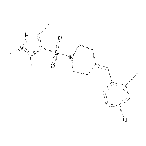 Cc1nn(C)c(C)c1S(=O)(=O)N1CCC(=Cc2ccc(Cl)cc2F)CC1